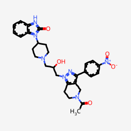 CC(=O)N1CCc2c(c(-c3ccc([N+](=O)[O-])cc3)nn2CC(O)CN2CCC(n3c(=O)[nH]c4ccccc43)CC2)C1